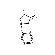 C[C@H]1CN(Cc2ccncc2)C[C@@H]1C